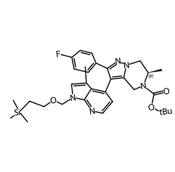 Cc1cn(COCC[Si](C)(C)C)c2nccc(-c3c(-c4ccc(F)cc4)nn4c3CN(C(=O)OC(C)(C)C)[C@H](C)C4)c12